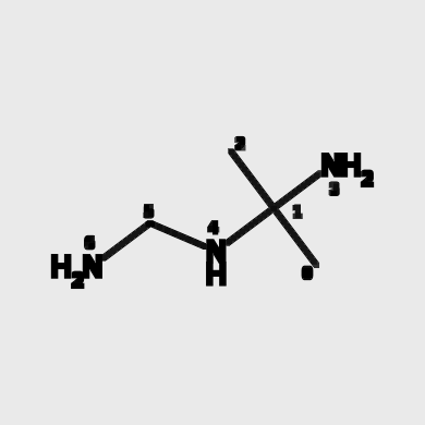 CC(C)(N)NCN